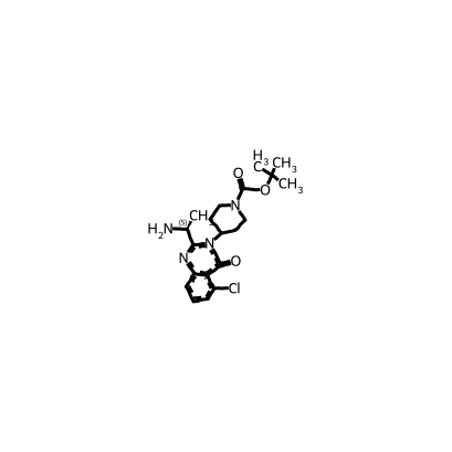 C[C@H](N)c1nc2cccc(Cl)c2c(=O)n1C1CCN(C(=O)OC(C)(C)C)CC1